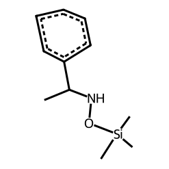 CC(NO[Si](C)(C)C)c1ccccc1